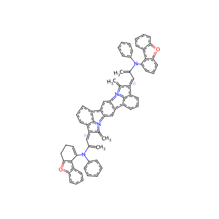 C=C(/C=c1\c(=C)n2c3cc4c5cccc6/c(=C/C(=C)N(c7ccccc7)c7cccc8oc9ccccc9c78)c(=C)n(c4cc3c3cccc1c32)c65)N(C1=CCCc2oc3ccccc3c21)c1ccccc1